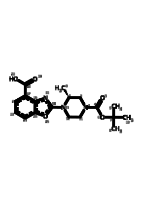 C[C@@H]1CN(C(=O)OC(C)(C)C)CCN1c1nc2c(C(=O)O)cccc2o1